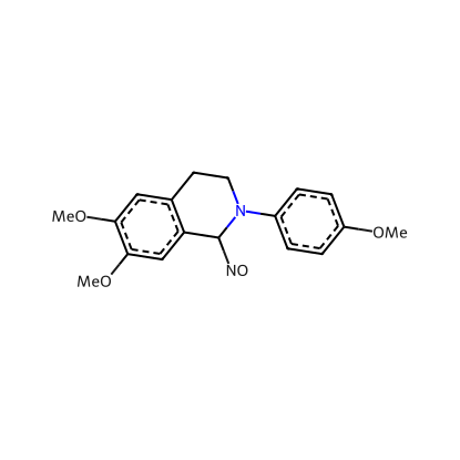 COc1ccc(N2CCc3cc(OC)c(OC)cc3C2N=O)cc1